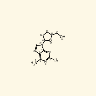 Nc1nc(Cl)nc2c1ccn2C1CCC(CO)O1